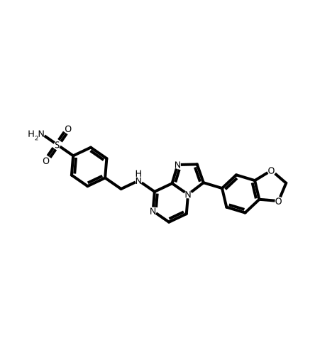 NS(=O)(=O)c1ccc(CNc2nccn3c(-c4ccc5c(c4)OCO5)cnc23)cc1